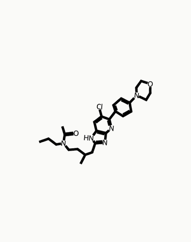 CCCN(CCC(C)Cc1nc2nc(-c3ccc(N4CCOCC4)cc3)c(Cl)cc2[nH]1)C(C)=O